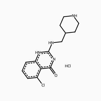 Cl.O=c1nc(NCC2CCNCC2)[nH]c2cccc(Cl)c12